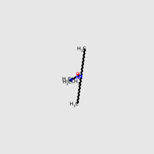 CCCCCCCCCCCCCCCCN(CCCCCCCCCCCCCCCC)C(=O)NCCC[N+](C)(C)C